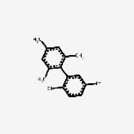 CCc1ccc(CC)c(-c2c(C)cc(C)cc2C)c1